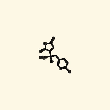 O=C1CC(C(Br)(Cc2ccc(Cl)nc2)C(=O)O)C(=O)N1